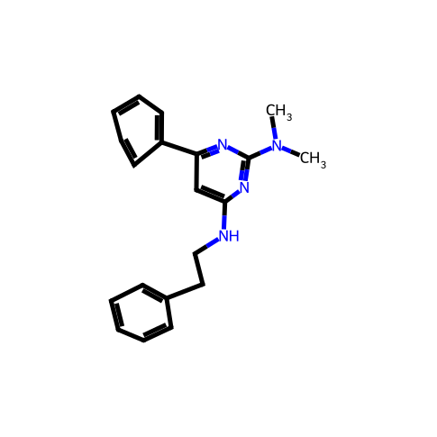 CN(C)c1nc(NCCc2ccccc2)cc(-c2ccccc2)n1